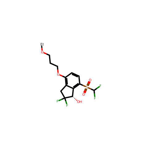 CCOCCCOc1ccc(S(=O)(=O)C(F)F)c2c1CC(F)(F)[C@H]2O